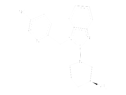 N#Cc1ccc(Cn2c(N3CCC[C@H](N)C3)nc3ccccc32)nc1